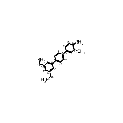 Cc1cc(-c2ccc(-c3cc(CP)cc(CP)c3)cc2)ccc1P